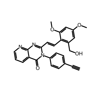 C#Cc1ccc(-n2c(/C=C/c3c(CO)cc(OC)cc3OC)nc3ncccc3c2=O)cc1